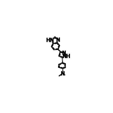 CN(C)c1ccc(-c2cc(-c3ccc4[nH]cnc4c3)n[nH]2)cc1